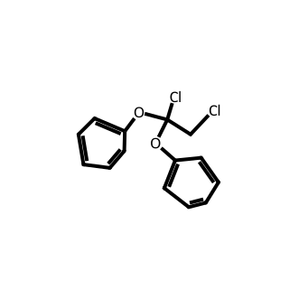 ClCC(Cl)(Oc1ccccc1)Oc1ccccc1